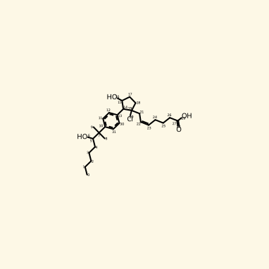 CCCCCC(O)C(C)(C)c1ccc(C2C(O)CCC2(Cl)C/C=C\CCCC(=O)O)cc1